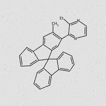 CCc1nccnc1-c1cc2c(cc1C)-c1ccccc1C21c2ccccc2-c2ccccc21